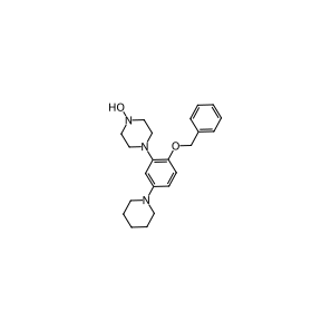 ON1CCN(c2cc(N3CCCCC3)ccc2OCc2ccccc2)CC1